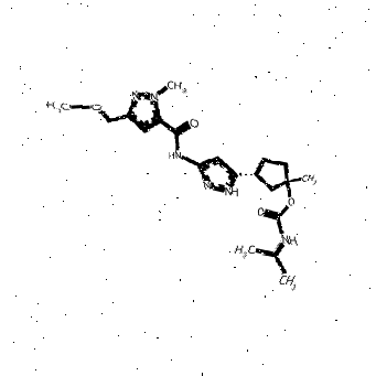 COCc1cc(C(=O)Nc2cc([C@@H]3CC[C@](C)(OC(=O)NC(C)C)C3)[nH]n2)n(C)n1